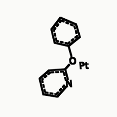 [Pt].c1ccc(Oc2ccccn2)cc1